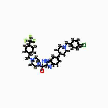 O=C(c1nc2ccc(C3CCN(Cc4ccc(Cl)cc4)CC3)cc2[nH]1)N1CCN(Cc2ccc(C(F)(F)F)cc2)CC1